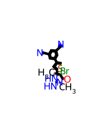 CN1C(=N)N[C@](C)(c2cc(-c3cc(C#N)cc(C#N)c3)cs2)C(Br)C1=O